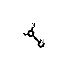 N#Cc1cc(C#Cc2ccccn2)cc(CI)c1